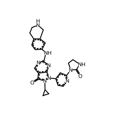 O=C1NCCN1c1cc(-n2c3nc(Nc4ccc5c(c4)CNCC5)ncc3c(=O)n2C2CC2)ccn1